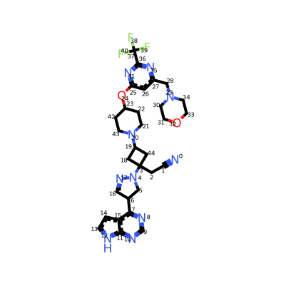 N#CCC1(N2CC(c3ncnc4[nH]ccc34)C=N2)CC(N2CCC(Oc3cc(CN4CCOCC4)nc(C(F)(F)F)n3)CC2)C1